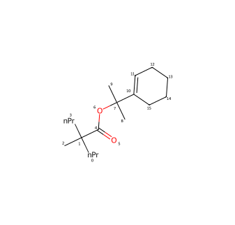 CCCC(C)(CCC)C(=O)OC(C)(C)C1=CCCCC1